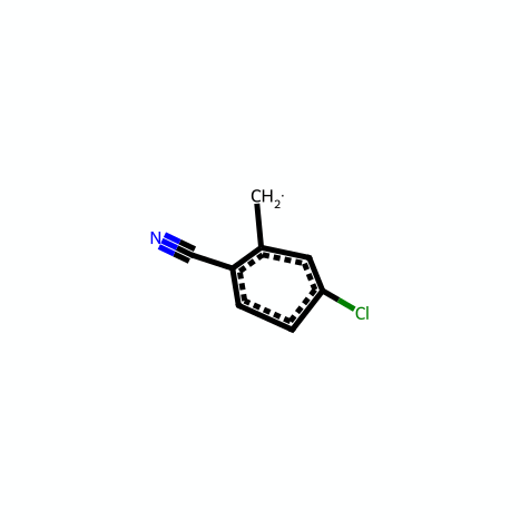 [CH2]c1cc(Cl)ccc1C#N